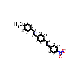 Cc1ccc(/C=C/c2ccc(/C=C/c3ccc([N+](=O)[O-])cc3)cc2)cc1